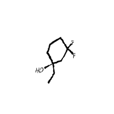 CC[C@]1(O)CCCC(F)(F)C1